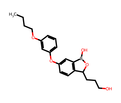 CCCCOc1cccc(Oc2ccc3c(c2)B(O)OC3CCCO)c1